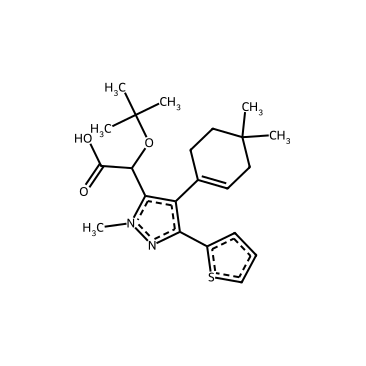 Cn1nc(-c2cccs2)c(C2=CCC(C)(C)CC2)c1C(OC(C)(C)C)C(=O)O